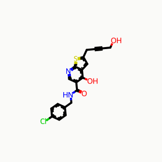 O=C(NCc1ccc(Cl)cc1)c1cnc2sc(CC#CCO)cc2c1O